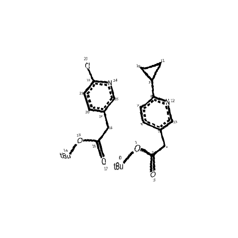 CC(C)(C)OC(=O)Cc1ccc(C2CC2)nc1.CC(C)(C)OC(=O)Cc1ccc(Cl)nc1